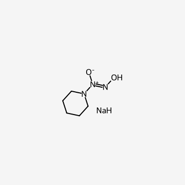 [NaH].[O-][N+](=NO)N1CCCCC1